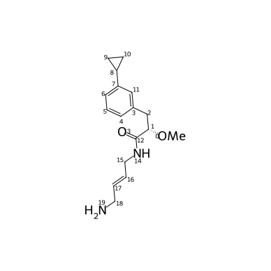 CO[C@@H](Cc1cccc(C2CC2)c1)C(=O)NC/C=C/CN